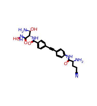 N#CCC[C@H](N)C(=O)Nc1ccc(C#Cc2ccc(C(=O)N[C@H](C(=O)NO)[C@@H](N)O)cc2)cc1